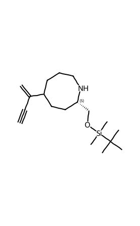 C#CC(=C)C1CCCN[C@H](CO[Si](C)(C)C(C)(C)C)CC1